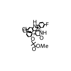 COC(=O)C(C)(C)COc1ccc(Cl)cc1[C@H]1CC(=O)N[C@@H](c2cc(F)ccc2C)[C@]12C(=O)Nc1cc(Cl)ccc12